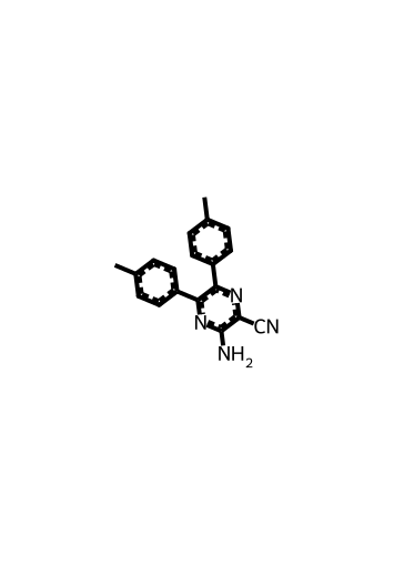 Cc1ccc(-c2nc(N)c(C#N)nc2-c2ccc(C)cc2)cc1